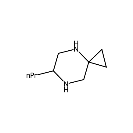 CCCC1CNC2(CC2)CN1